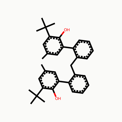 Cc1cc(-c2ccccc2Cc2ccccc2-c2cc(C)cc(C(C)(C)C)c2O)c(O)c(C(C)(C)C)c1